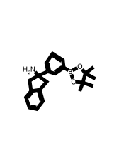 CC1(C)OB(c2cccc(C3(N)Cc4ccccc4C3)c2)OC1(C)C